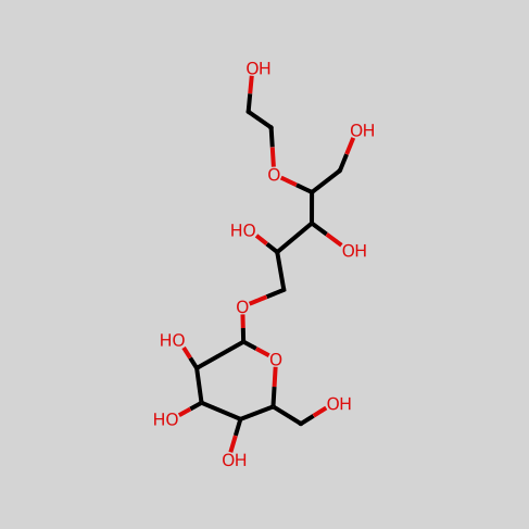 OCCOC(CO)C(O)C(O)COC1OC(CO)C(O)C(O)C1O